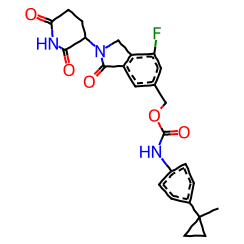 CC1(c2ccc(NC(=O)OCc3cc(F)c4c(c3)C(=O)N(C3CCC(=O)NC3=O)C4)cc2)CC1